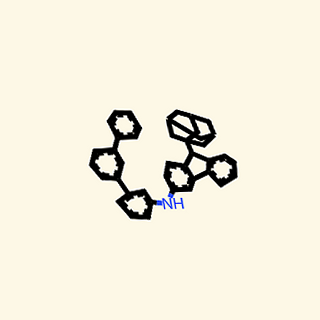 c1ccc(-c2cccc(-c3cccc(Nc4ccc5c(c4)-c4ccccc4C5C45CC6CC(CC(C6)C4)C5)c3)c2)cc1